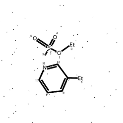 CCOS(C)(=O)=O.CCc1cccnc1